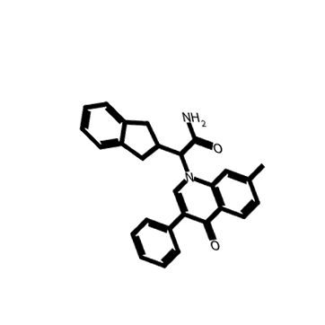 Cc1ccc2c(=O)c(-c3ccccc3)cn(C(C(N)=O)C3Cc4ccccc4C3)c2c1